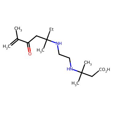 C=C(C)C(=O)CC(C)(CC)NCCNC(C)(C)CC(=O)O